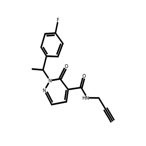 C#CCNC(=O)c1ccnn(C(C)c2ccc(F)cc2)c1=O